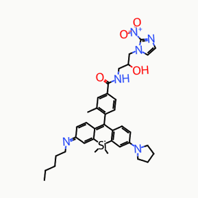 CCCCC/N=C1/C=CC2=C(c3ccc(C(=O)NCC(O)Cn4ccnc4[N+](=O)[O-])cc3C)c3ccc(N4CCCC4)cc3[Si](C)(C)C2=C1